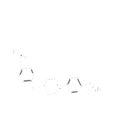 NCc1ccc(N2CCC(Oc3ccc(OC(F)(F)F)cc3)CC2)cc1